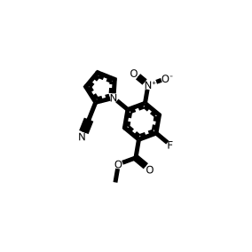 COC(=O)c1cc(-n2cccc2C#N)c([N+](=O)[O-])cc1F